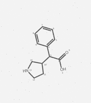 O=C(O)C(c1ccccc1)C1CCNC1